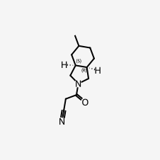 CC1CC[C@H]2CN(C(=O)CC#N)C[C@H]2C1